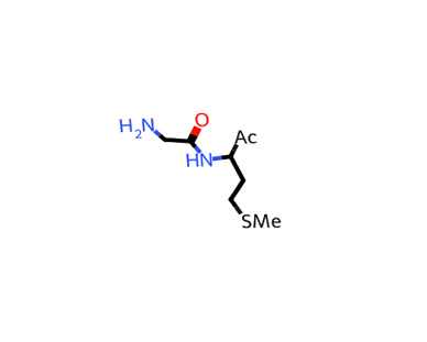 CSCCC(NC(=O)CN)C(C)=O